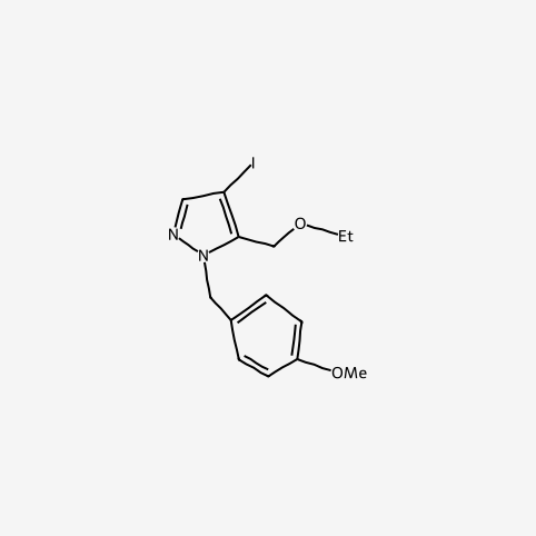 CCOCc1c(I)cnn1Cc1ccc(OC)cc1